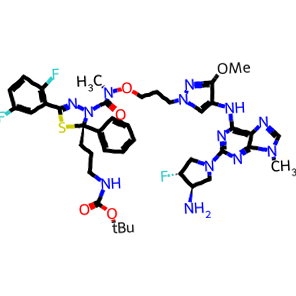 COc1nn(CCCON(C)C(=O)N2N=C(c3cc(F)ccc3F)S[C@@]2(CCCNC(=O)OC(C)(C)C)c2ccccc2)cc1Nc1nc(N2C[C@@H](N)[C@H](F)C2)nc2c1ncn2C